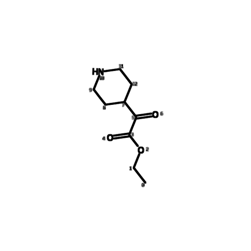 CCOC(=O)C(=O)C1CCNCC1